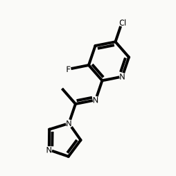 CC(=Nc1ncc(Cl)cc1F)n1ccnc1